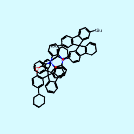 CC(C)(C)c1ccc2c(c1)C1(C3=C(CCC=C3)c3ccc(N(c4ccc5c(c4)C4(c6cc(C7CCCCC7)ccc6Oc6ccc(C7CCCCC7)cc64)c4ccccc4-5)c4ccccc4-n4c5ccccc5c5ccccc54)cc31)c1cc(C(C)(C)C)ccc1-2